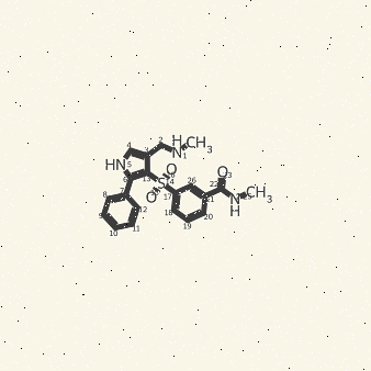 CNCc1c[nH]c(-c2ccccc2)c1S(=O)(=O)c1cccc(C(=O)NC)c1